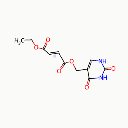 CCOC(=O)/C=C/C(=O)OCc1c[nH]c(=O)[nH]c1=O